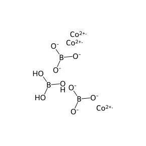 OB(O)O.[Co+2].[Co+2].[Co+2].[O-]B([O-])[O-].[O-]B([O-])[O-]